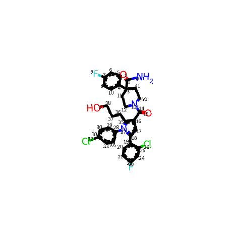 NC(=O)C1(c2ccc(F)cc2)CCN(C(=O)c2cc(-c3ccc(F)cc3Cl)n(-c3ccc(Cl)cc3)c2CCCO)CC1